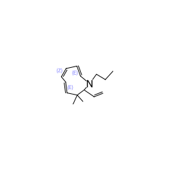 C=CC1N(CCC)/C=C/C=C\C=C\C1(C)C